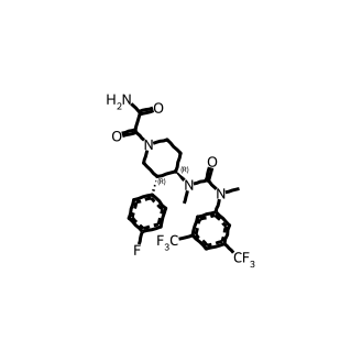 CN(C(=O)N(C)[C@@H]1CCN(C(=O)C(N)=O)C[C@H]1c1ccc(F)cc1)c1cc(C(F)(F)F)cc(C(F)(F)F)c1